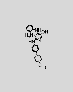 CN1CCN(c2ccc(Nc3ncc(O)c(Nc4ccccc4N)n3)cc2)CC1